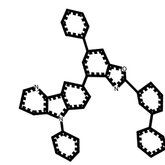 c1ccc(-c2cccc(-c3nc4c(-c5ccc6c(c5)c5ncccc5n6-c5ccccc5)cc(-c5ccccc5)cc4o3)c2)cc1